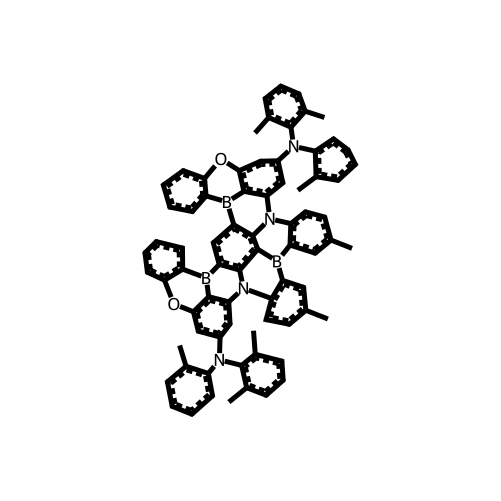 Cc1ccc2c(c1)B1c3cc(C)ccc3N3c4cc(N(c5ccccc5C)c5c(C)cccc5C)cc5c4B(c4ccccc4O5)c4cc5c(c1c43)N2c1cc(N(c2ccccc2C)c2c(C)cccc2C)cc2c1B5c1ccccc1O2